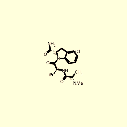 CN[C@@H](C)C(=O)N[C@H](C(=O)N1c2ccccc2C[C@H]1C(N)=O)C(C)C.Cl